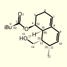 CC[C@H](C)C(=O)O[C@H]1CCC=C2C=C[C@H](C)[C@H](CO)[C@H]21